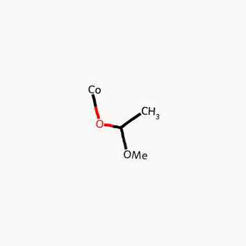 COC(C)[O][Co]